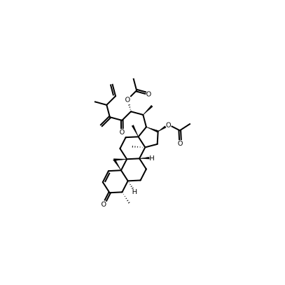 C=CC(C)C(=C)C(=O)[C@H](OC(C)=O)[C@@H](C)[C@H]1[C@@H](OC(C)=O)C[C@@]2(C)[C@@H]3CC[C@H]4[C@H](C)C(=O)C=C[C@@]45C[C@@]35CC[C@]12C